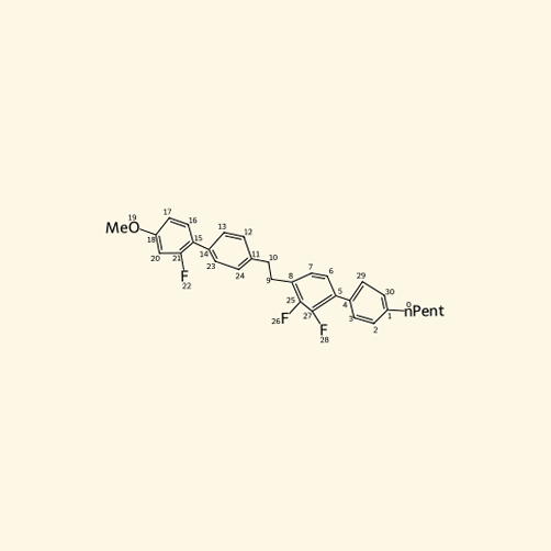 CCCCCc1ccc(-c2ccc(CCc3ccc(-c4ccc(OC)cc4F)cc3)c(F)c2F)cc1